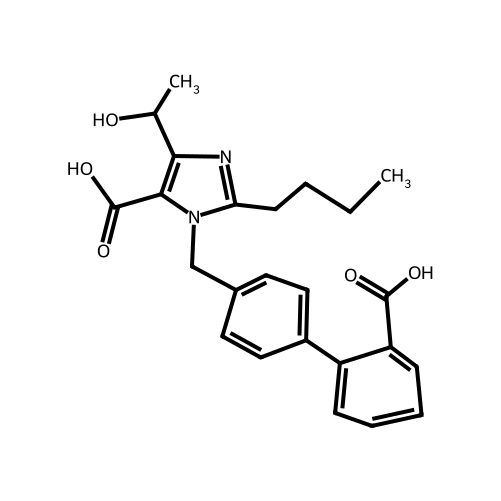 CCCCc1nc(C(C)O)c(C(=O)O)n1Cc1ccc(-c2ccccc2C(=O)O)cc1